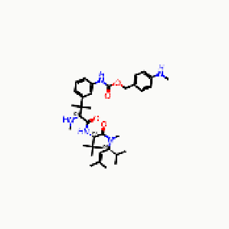 CNc1ccc(COC(=O)Nc2cccc(C(C)(C)[C@H](NC)C(=O)N[C@H](C(=O)N(C)[C@H](C=C(C)C)C(C)C)C(C)(C)C)c2)cc1